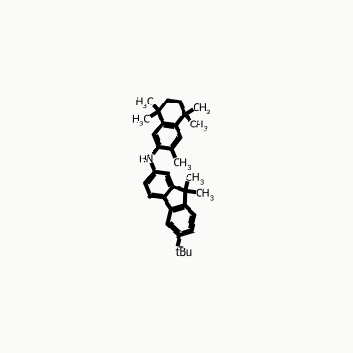 Cc1cc2c(cc1Nc1ccc3c(c1)C(C)(C)c1ccc(C(C)(C)C)cc1-3)C(C)(C)CCC2(C)C